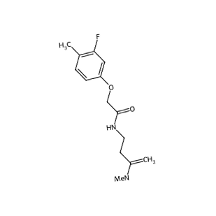 C=C(CCNC(=O)COc1ccc(C)c(F)c1)NC